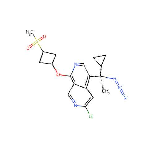 C[C@](N=[N+]=[N-])(c1cnc(OC2CC(S(C)(=O)=O)C2)c2cnc(Cl)cc12)C1CC1